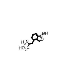 N[C@H](Cc1cccc2c1COB2O)C(=O)O